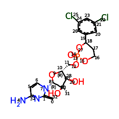 C=C1N=C(N)C=CN1[C@@H]1O[C@H](COP2(=O)OCCC(c3cc(Cl)cc(Cl)c3)O2)[C@@H](O)[C@@]1(C)O